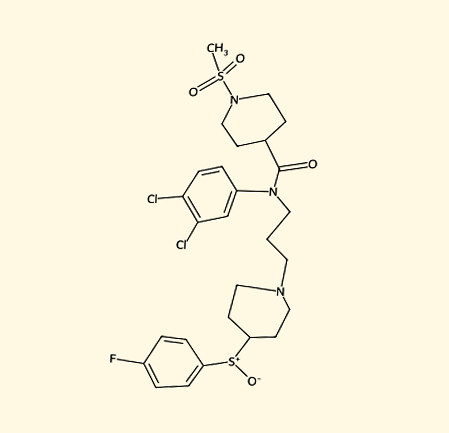 CS(=O)(=O)N1CCC(C(=O)N(CCCN2CCC([S+]([O-])c3ccc(F)cc3)CC2)c2ccc(Cl)c(Cl)c2)CC1